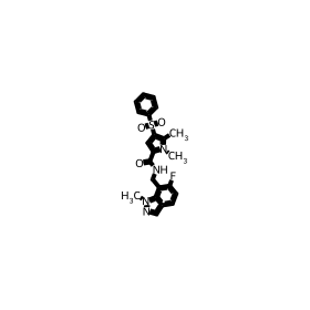 Cc1c(S(=O)(=O)c2ccccc2)cc(C(=O)NCc2c(F)ccc3cnn(C)c23)n1C